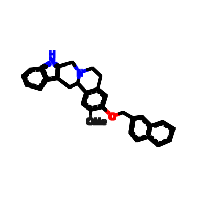 COc1cc2c(cc1OCc1ccc3ccccc3c1)CCN1Cc3[nH]c4ccccc4c3CC21